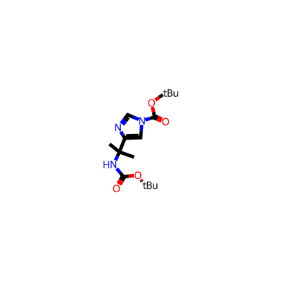 CC(C)(C)OC(=O)NC(C)(C)c1cn(C(=O)OC(C)(C)C)cn1